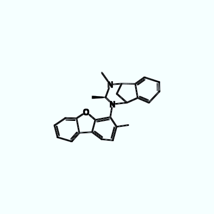 Cc1ccc2c(oc3ccccc32)c1N1C2CC(c3ccccc32)N(C)[C@@H]1C